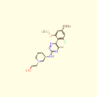 COc1cc(F)c(-c2nnc(N[C@@H]3CCCN(CCO)C3)nc2C)c(OC=O)c1